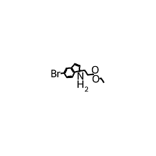 CCOC(=O)CCC1(N)C=Cc2cc(Br)ccc21